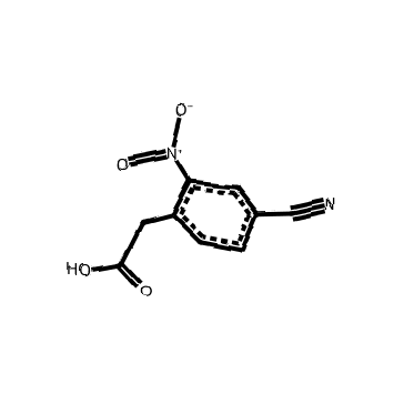 N#Cc1ccc(CC(=O)O)c([N+](=O)[O-])c1